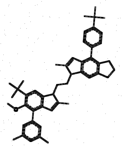 COc1c(C(C)(C)C)cc2c(c1-c1cc(C)cc(C)c1)C=C(C)C2CCC1C(C)=Cc2c1cc1c(c2-c2ccc(C(C)(C)C)cc2)CCC1